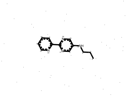 CCCNc1cnc(-c2ccccn2)nc1